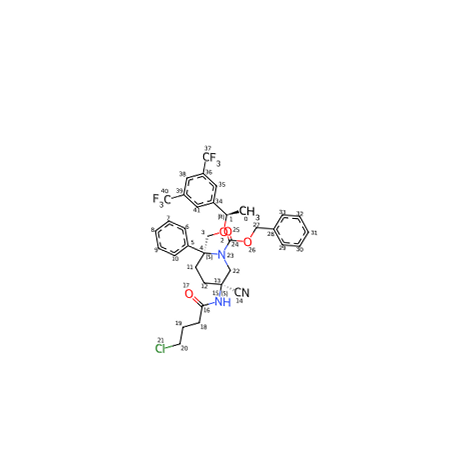 C[C@@H](OC[C@@]1(c2ccccc2)CC[C@](C#N)(NC(=O)CCCCl)CN1C(=O)OCc1ccccc1)c1cc(C(F)(F)F)cc(C(F)(F)F)c1